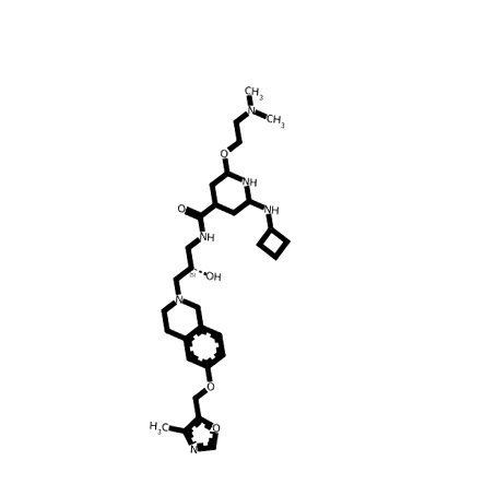 Cc1ncoc1COc1ccc2c(c1)CCN(C[C@@H](O)CNC(=O)C1CC(NC3CCC3)NC(OCCN(C)C)C1)C2